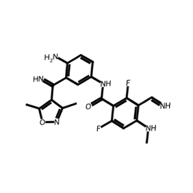 CNc1cc(F)c(C(=O)Nc2ccc(N)c(C(=N)c3c(C)noc3C)c2)c(F)c1C=N